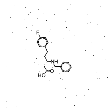 O=C(O)C[C@H](CCc1ccc(F)cc1)NCc1ccccc1